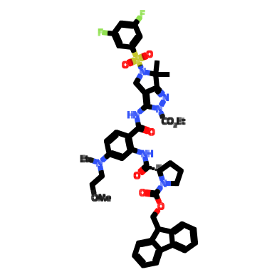 CCOC(=O)n1nc2c(c1NC(=O)c1ccc(N(CC)CCOC)cc1NC(=O)[C@@H]1CCCN1C(=O)OCC1c3ccccc3-c3ccccc31)CN(S(=O)(=O)c1cc(F)cc(F)c1)C2(C)C